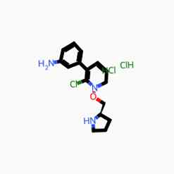 Cl.Cl.Nc1cccc(C2=C(Cl)N(OC[C@H]3CCCN3)CC=C2)c1